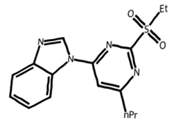 CCCc1cc(-n2cnc3ccccc32)nc(S(=O)(=O)CC)n1